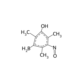 Bc1c(C)c(O)c(C)c(N=O)c1C